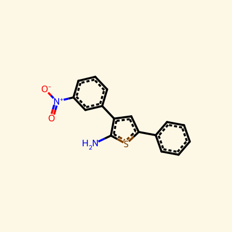 Nc1sc(-c2ccccc2)cc1-c1cccc([N+](=O)[O-])c1